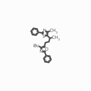 CCC(C)c1nc(-c2ccccc2)oc1CCC(C)c1sc(-c2ccccc2)nc1C